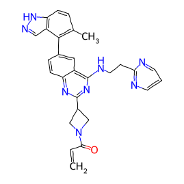 C=CC(=O)N1CC(c2nc(NCCc3ncccn3)c3cc(-c4c(C)ccc5[nH]ncc45)ccc3n2)C1